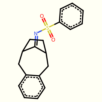 O=S(=O)(N=C1C2CCC1Cc1ccccc1C2)c1ccccc1